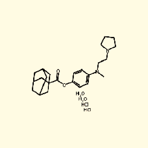 CN(CCN1CCCC1)c1ccc(OC(=O)C23CC4CC(CC(C4)C2)C3)cc1.Cl.Cl.O.O